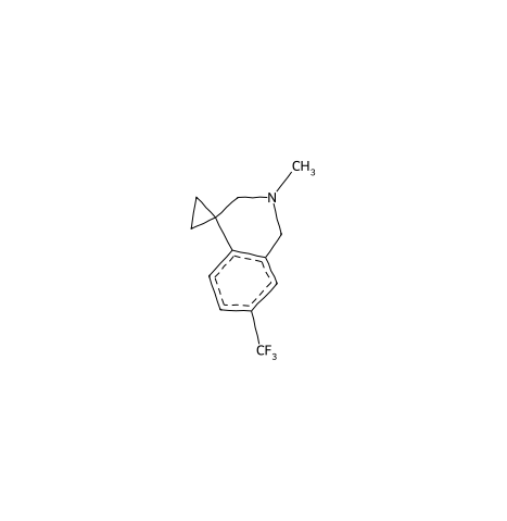 CN1Cc2cc(C(F)(F)F)ccc2C2(CC2)C1